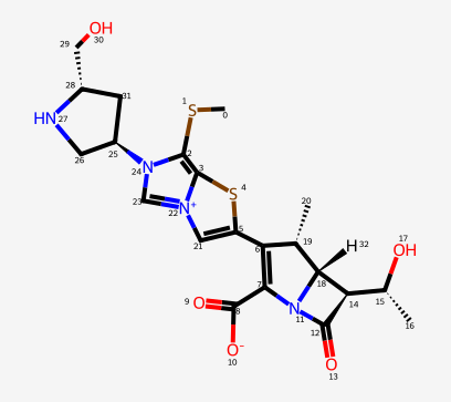 CSc1c2sc(C3=C(C(=O)[O-])N4C(=O)[C@H]([C@@H](C)O)[C@H]4[C@H]3C)c[n+]2cn1[C@H]1CN[C@H](CO)C1